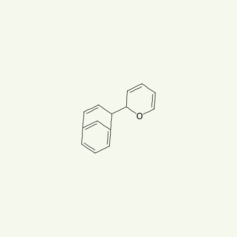 C1=COC(C2C=Cc3cccc2c3)C=C1